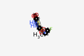 CC1CCc2cc(F)ccc2N1S(=O)(=O)c1ccc(NC(=S)Nc2ccc3c(c2)OCO3)cc1